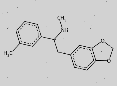 CNC(Cc1ccc2c(c1)OCO2)c1cccc(C)c1